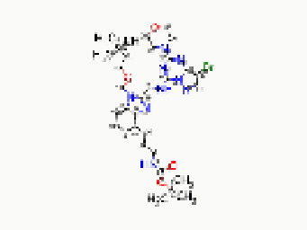 CC(C)(C)OC(=O)NCCCc1cccc2c1nc(CNc1nc(N3CCOCC3)nc3c(Br)cnn13)n2COCC[Si](C)(C)C